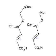 CCCCCCCCCCCOC(=O)/C=C/C(=O)O.CCCCCCCCCOC(=O)/C=C/C(=O)O